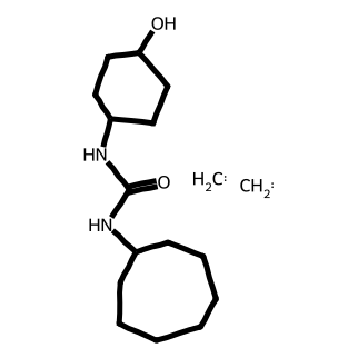 O=C(N[C]1CCCCCCC1)NC1CCC(O)CC1.[CH2].[CH2]